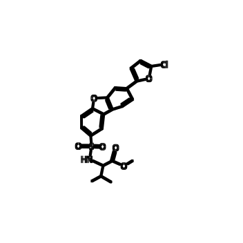 COC(=O)C(NS(=O)(=O)c1ccc2oc3cc(-c4ccc(Cl)o4)ccc3c2c1)C(C)C